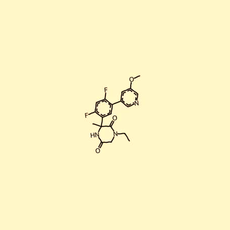 CCN1CC(=O)NC(C)(c2cc(-c3cncc(OC)c3)c(F)cc2F)C1=O